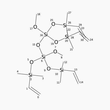 C=C[Si](C)(C)O[Si](OC)(O[Si](C)(C)C=C)O[Si](OC)(O[Si](C)(C)C=C)O[Si](C)(C)C=C